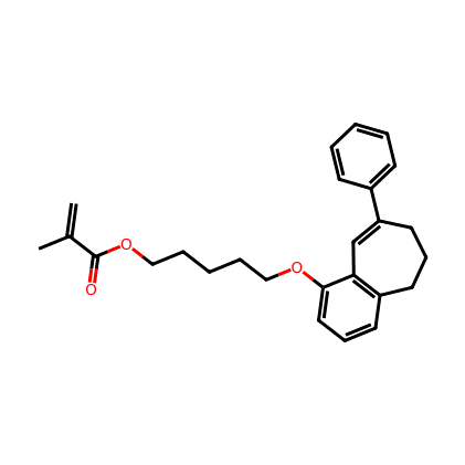 C=C(C)C(=O)OCCCCCOc1cccc2c1C=C(c1ccccc1)CCC2